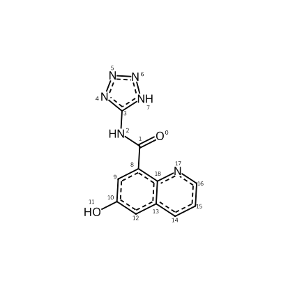 O=C(Nc1nnn[nH]1)c1cc(O)cc2cccnc12